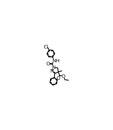 CCOC(=O)C1(C)CN(C(=O)Nc2ccc(Cl)cc2)N=C1c1ccccc1